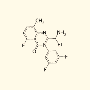 CCC(N)c1nc2c(C)ccc(F)c2c(=O)n1-c1cc(F)cc(F)c1